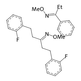 CCC(=NOC)c1ccccc1.CON=C(CCc1ccccc1F)CCc1ccccc1F